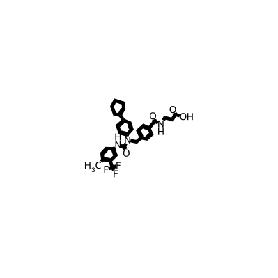 Cc1ccc(NC(=O)N(Cc2ccc(C(=O)NCCC(=O)O)cc2)c2ccc(C3=CCCCC3)cc2)cc1C(F)(F)F